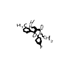 C=CCN(Cc1ccc(F)cc1)C(=O)c1c[nH]c2c(C)cccc2c1=O